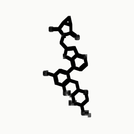 Cc1cc(Cl)cc(-c2ccnc3cc(CN4C(=O)C5CC5C4=O)sc23)c1CC1CNC(C)CO1